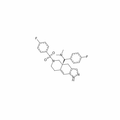 CN(C)C(c1ccc(F)cc1)[C@@]12Cc3cn[nH]c3C=C1CCN(S(=O)(=O)c1ccc(F)cc1)C2